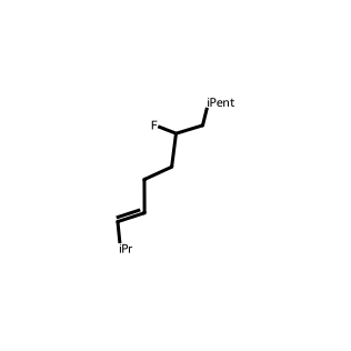 CCCC(C)CC(F)CC/C=C/C(C)C